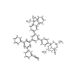 C[C@@H]1C[C@@H]2C[C@H](C)CC(c3ccc(-c4cc(-c5ccc6c(c5)-c5ccccc5C6(C)C)cc(-c5nc(-c6ccccc6)nc(-c6cccc(C#N)c6)n5)c4)cc3)(C1)C2